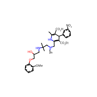 CCOC(=O)C1=C(CN(CC(C)(C)NCC(O)COc2ccccc2OC)C(C)C)NC(C)=C(C(=O)O)C1c1cccc([N+](=O)[O-])c1